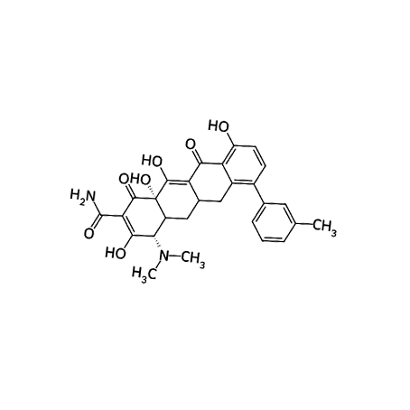 Cc1cccc(-c2ccc(O)c3c2CC2CC4[C@H](N(C)C)C(O)=C(C(N)=O)C(=O)[C@@]4(O)C(O)=C2C3=O)c1